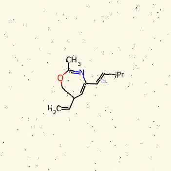 C=CC1C=C(/C=C/C(C)C)N=C(C)OC1